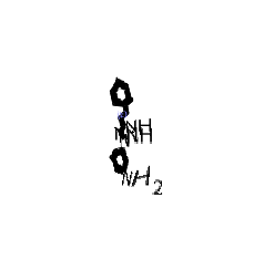 Nc1cccc(N2N=C(/C=C/c3ccccc3)NN2)c1